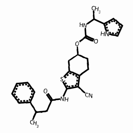 CC(CC(=O)Nc1sc2c(c1C#N)CCC(OC(=O)NC(C)c1ccc[nH]1)C2)c1ccccc1